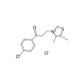 Cc1sc[n+](CCC(=O)c2ccc(Cl)cc2)c1C.[Cl-]